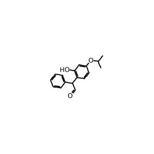 CC(C)Oc1ccc(C(C=O)c2ccccc2)c(O)c1